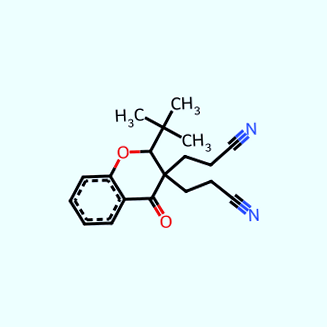 CC(C)(C)C1Oc2ccccc2C(=O)C1(CCC#N)CCC#N